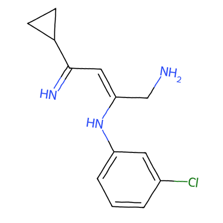 N=C(/C=C(/CN)Nc1cccc(Cl)c1)C1CC1